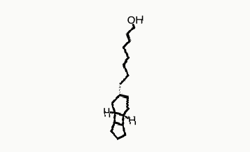 OCCCCCCCC[C@@H]1CC[C@@H]2C3CCCC3[C@@H]2C1